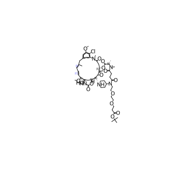 COc1cc2cc(c1Cl)N(C)C(=O)C[C@H](OC(=O)[C@H](C)N(C)C(=O)CCC(=O)N(CCOCCOCCC(=O)OC(C)(C)C)C1CCNCC1)[C@]1(C)OC1[C@H](C)[C@@H]1C[C@@](O)(NC(=O)O1)[C@H](OC)/C=C/C=C(\C)C2